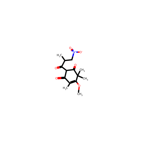 COC1=C(C)C(=O)C(C(=O)C(C)C[N+](=O)[O-])C(=O)C1(C)C